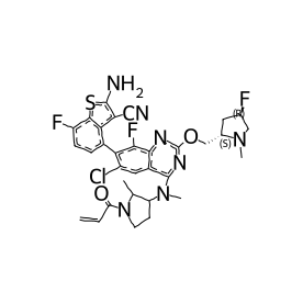 C=CC(=O)N1CCC(N(C)c2nc(OC[C@@H]3C[C@@H](F)CN3C)nc3c(F)c(-c4ccc(F)c5sc(N)c(C#N)c45)c(Cl)cc23)C1C